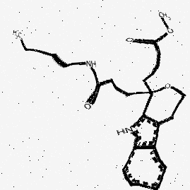 CCCCNC(=O)CCC1(CCC(=O)OC)OCCc2c1[nH]c1ccccc21